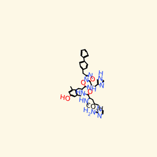 Cc1cc(O)cc(C)c1CC(NC(=O)C(CCCn1ccnc1N)NC(=O)O)C(=O)N[C@@H](Cc1c[nH]cn1)c1nc(Cc2ccc(-c3ccccc3)cc2)no1